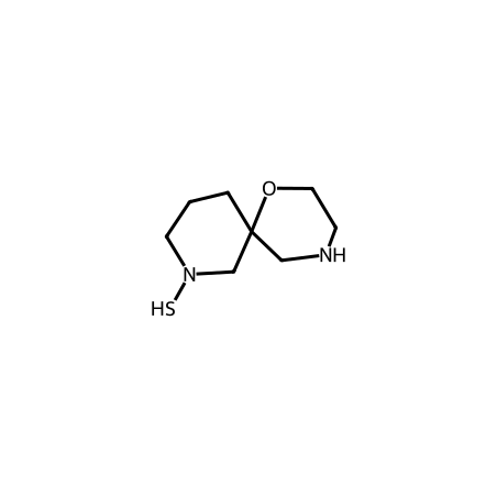 SN1CCCC2(CNCCO2)C1